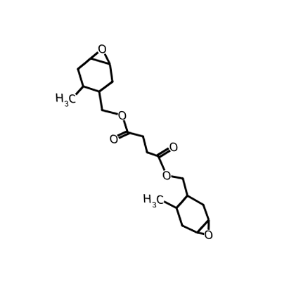 CC1CC2OC2CC1COC(=O)CCC(=O)OCC1CC2OC2CC1C